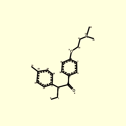 CCC(C(=O)c1ccc(OCCN(C)C)cc1)c1ccc(C)cc1